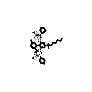 C=C(C)c1ccc(C)cc1-c1c(OCN(C(=O)OC)c2ccccc2)cc(C(C)(C)CCCCCC)cc1OCN(C(=O)OC)c1ccccc1